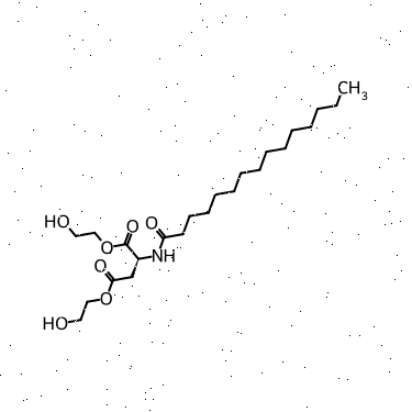 CCCCCCCCCCCCCCC(=O)N[C@@H](CC(=O)OCCO)C(=O)OCCO